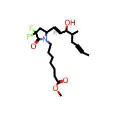 CC#CCC(C)C(O)/C=C/C1CC(F)(F)C(=O)N1CCCCCCC(=O)OC